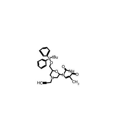 C#CCN1CC(CO[Si](c2ccccc2)(c2ccccc2)C(C)(C)C)OC(n2cc(C)c(=O)[nH]c2=O)C1